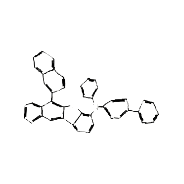 c1ccc(-c2ccc(N(c3ccccc3)c3cccc4c3oc3c(-c5ccc6ccccc6c5)c5ccccc5cc34)cc2)cc1